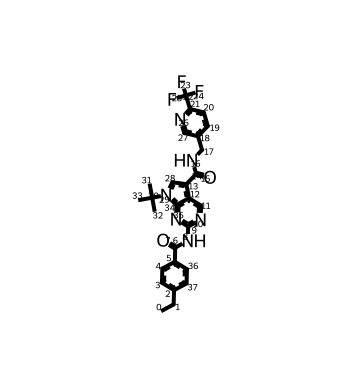 CCc1ccc(C(=O)Nc2ncc3c(C(=O)NCc4ccc(C(F)(F)F)nc4)cn(C(C)(C)C)c3n2)cc1